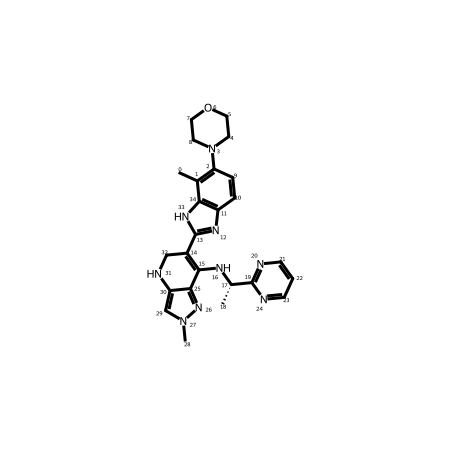 Cc1c(N2CCOCC2)ccc2nc(C3=C(N[C@@H](C)c4ncccn4)c4nn(C)cc4NC3)[nH]c12